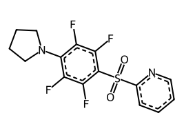 O=S(=O)(c1ccccn1)c1c(F)c(F)c(N2CCCC2)c(F)c1F